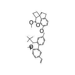 C=Cc1ccc(F)c(-c2ccc(COc3ccc4c(c3)[C@@]3(CC4)CCC3C(=O)OC)cc2[C@H](OC)C(C)(C)C)c1